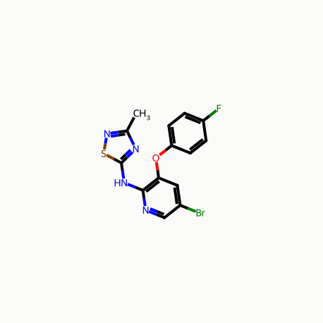 Cc1nsc(Nc2ncc(Br)cc2Oc2ccc(F)cc2)n1